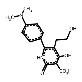 CN(C)c1ccc(-c2[nH]c(=O)c(C(=O)O)c(O)c2CCO)cc1